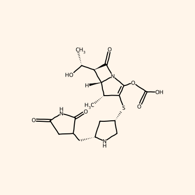 C[C@@H](O)[C@H]1C(=O)N2C(OC(=O)O)=C(S[C@@H]3CN[C@H](CC4CC(=O)NC4=O)C3)[C@H](C)[C@H]12